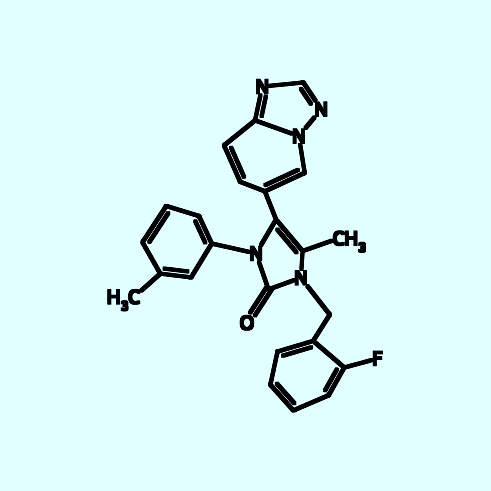 Cc1cccc(-n2c(-c3ccc4ncnn4c3)c(C)n(Cc3ccccc3F)c2=O)c1